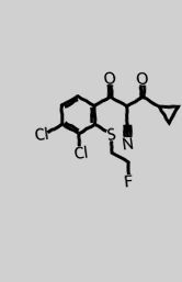 N#CC(C(=O)c1ccc(Cl)c(Cl)c1SCCF)C(=O)C1CC1